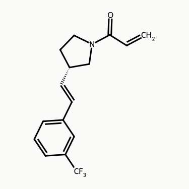 C=CC(=O)N1CC[C@@H](/C=C/c2cccc(C(F)(F)F)c2)C1